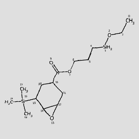 CCO[SiH2]CCCOC(=O)C1CC2OC2C([Si](C)(C)C)C1